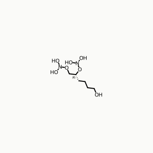 OCCCC[C@H](CON(O)O)ON(O)O